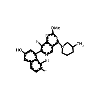 CCc1c(F)ccc2cc(O)cc(-c3ncc4c(N5CCCC(C)C5)nc(OC)nc4c3F)c12